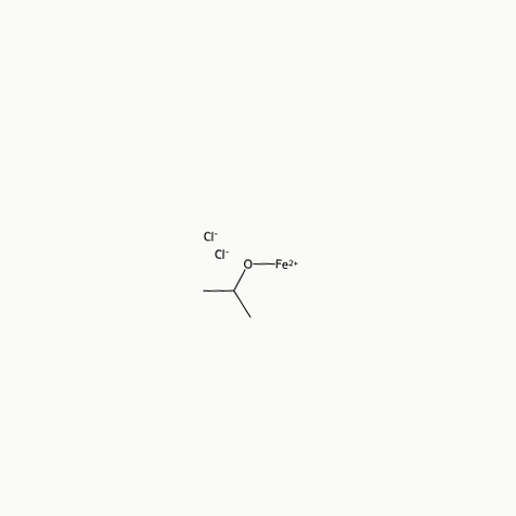 CC(C)[O][Fe+2].[Cl-].[Cl-]